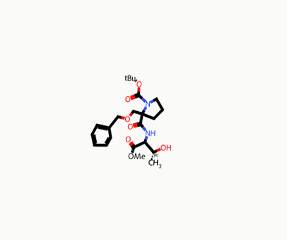 COC(=O)C(NC(=O)C1(COCc2ccccc2)CCCN1C(=O)OC(C)(C)C)[C@@H](C)O